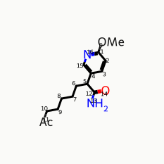 COc1ccc(C(CCCCCC(C)=O)C(N)=O)cn1